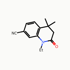 CCN1C(=O)CC(C)(C)c2ccc(C#N)cc21